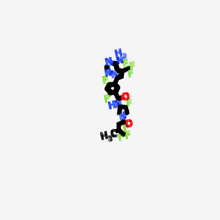 CC(CC(=O)N1C[C@H](F)[C@H](NC(=O)c2cc(-c3cc(C(F)(F)F)c4c(N)ncnn34)c(F)cc2F)C1)C(F)(F)F